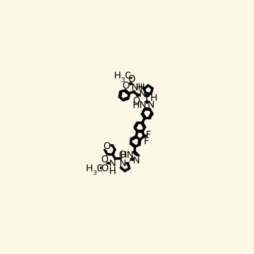 COC(=O)NC(C(=O)N1[C@@H]2CC[C@H](C2)[C@H]1c1nc2ccc(-c3ccc4c(c3)C(F)(F)c3cc(-c5cnc([C@@H]6CCCN6C(=O)[C@@H](NC(=O)OC)C6CCOCC6)[nH]5)ccc3-4)cc2[nH]1)c1ccccc1